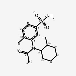 CCC(=O)N(c1cc(S(N)(=O)=O)ccc1C)C1CCCCC1C